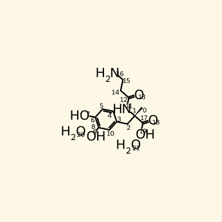 C[C@@](Cc1ccc(O)c(O)c1)(NC(=O)CCN)C(=O)O.O.O